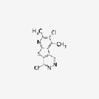 Cc1nc2sc3c(Cl)nncc3c2c(C)c1Cl